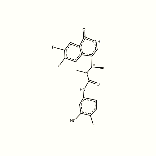 C[C@H](c1c[nH]c(=O)c2cc(F)c(F)cc12)N(C)C(=O)Nc1ccc(F)c(C#N)c1